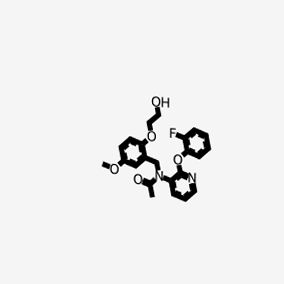 COc1ccc(OCCO)c(CN(C(C)=O)c2cccnc2Oc2ccccc2F)c1